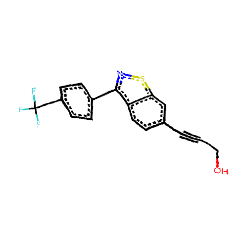 OCC#Cc1ccc2c(-c3ccc(C(F)(F)F)cc3)nsc2c1